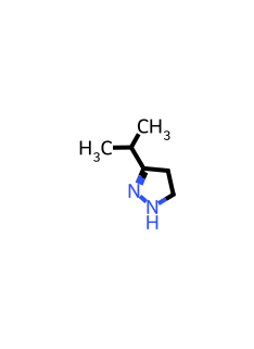 CC(C)C1=NNCC1